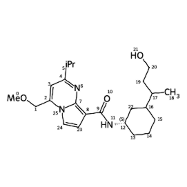 COCc1cc(C(C)C)nc2c(C(=O)N[C@H]3CCCC(C(C)CCO)C3)ccn12